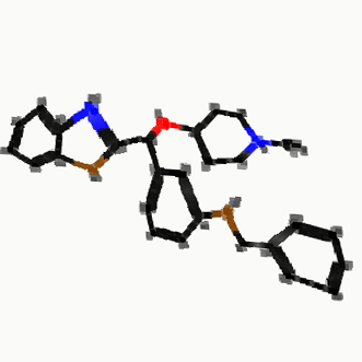 CN1CCC(OC(c2cccc(SCc3ccccc3)c2)c2nc3ccccc3s2)CC1